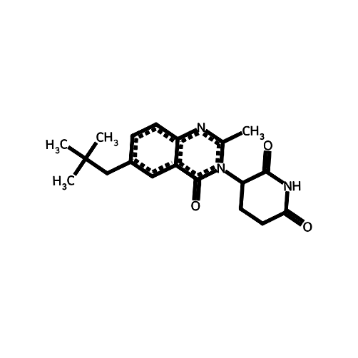 Cc1nc2ccc(CC(C)(C)C)cc2c(=O)n1C1CCC(=O)NC1=O